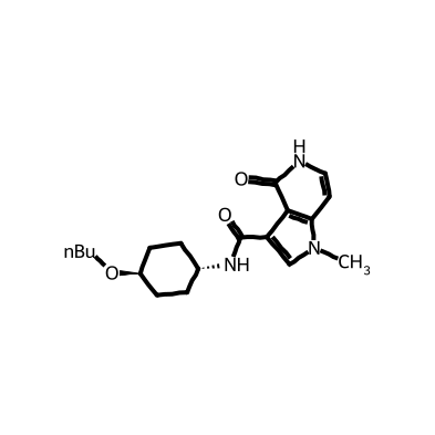 CCCCO[C@H]1CC[C@H](NC(=O)c2cn(C)c3cc[nH]c(=O)c23)CC1